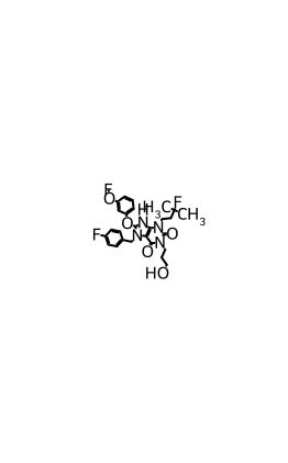 CC(C)(F)CCn1c2c(c(=O)n(CCCO)c1=O)N(Cc1ccc(F)cc1)C(Oc1cccc(OF)c1)N2